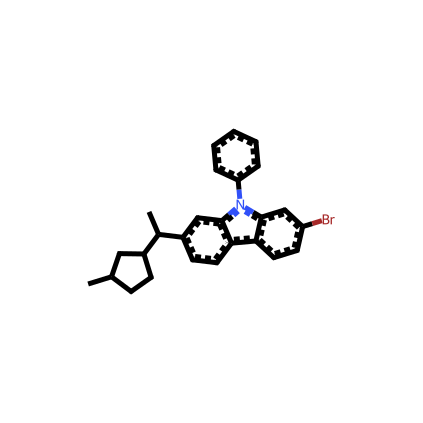 CC1CCC(C(C)c2ccc3c4ccc(Br)cc4n(-c4ccccc4)c3c2)C1